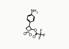 Nc1ccc(C2CS(=O)(=O)C2OC(=O)C(F)(F)F)cc1